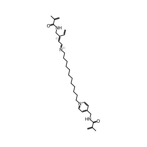 C=C/C(=C\C=N\CCCCCCCCCCCC[n+]1ccc(CNC(=O)C(=C)C)cc1)CNC(=O)C(=C)C